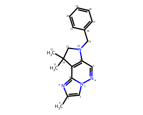 Cc1cn2ncc3c(c2n1)C(C)(C)CN3Cc1ccccc1